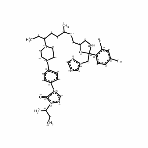 CCC(CCC(C)OCC1CNC(Cn2cncn2)(c2ccc(F)cc2F)O1)N1CCN(c2ccc(-n3cnn(C(C)CC)c3=O)cc2)CC1